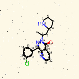 CC(CC1CCCCN1)n1nc(-c2cccc(Cl)c2)c2ncccc2c1=O